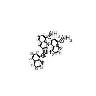 [AlH2][O]c1cccc2cccnc12.[AlH2][O]c1cccc2cccnc12.[AlH2][O]c1cccc2cccnc12